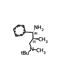 C[C@@H](CN(C)C(C)(C)C)[C@@H](N)c1ccccc1